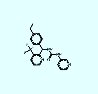 CCc1ccc(C(NC(=O)Nc2cccnc2)c2ncccc2C(F)(F)F)cc1